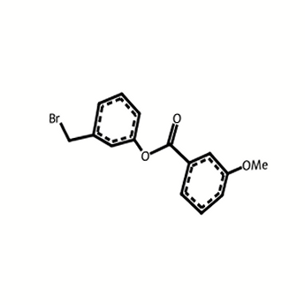 COc1cccc(C(=O)Oc2cccc(CBr)c2)c1